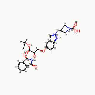 CC(C)(C)OC(=O)C(COc1ccc2nn(CC3CN(C(=O)O)C3)cc2c1)ON1C(=O)c2ccccc2C1=O